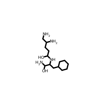 NCC(N)CCC(O)NC(CC1CCCCC1)C(N)O